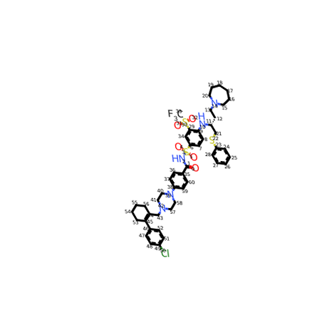 O=C(NS(=O)(=O)c1ccc(N[C@H](CCN2CCCCCC2)CSc2ccccc2)c(S(=O)(=O)C(F)(F)F)c1)c1ccc(N2CCN(CC3=C(c4ccc(Cl)cc4)CCCC3)CC2)cc1